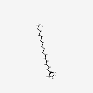 CCCCCCCCCCCCCCCCC1=NCCN1